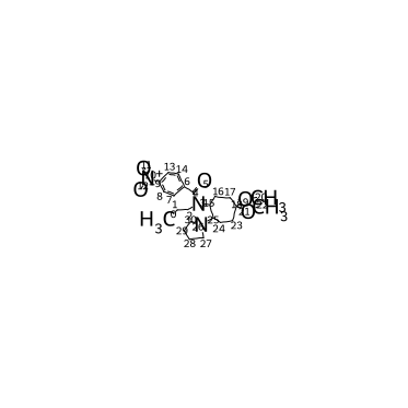 CCCN(C(=O)c1ccc([N+](=O)[O-])cc1)C1CCC(OC)(OC)CCC1N1CCCC1